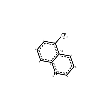 FC(F)(F)c1cccc2nc[c]cc12